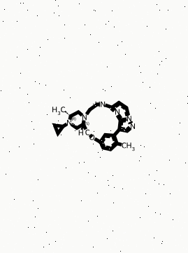 Cc1ccc2cc1-c1cnn3ccc(nc13)NCCN1C[C@@H](C)N(C3CC3)C[C@H]1CO2